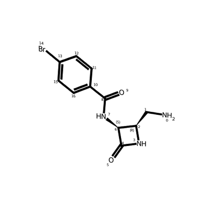 NC[C@H]1NC(=O)[C@H]1NC(=O)c1ccc(Br)cc1